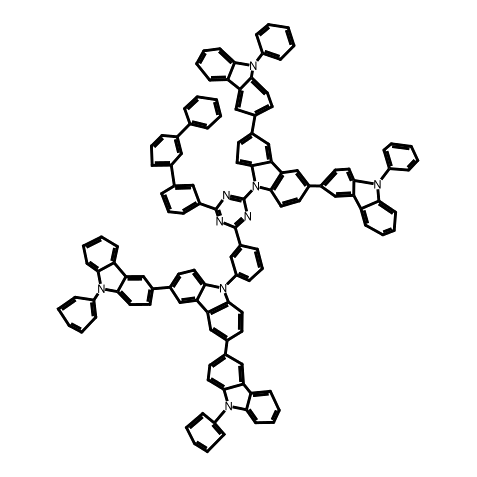 c1ccc(-c2cccc(-c3cccc(-c4nc(-c5cccc(-n6c7ccc(-c8ccc9c(c8)c8ccccc8n9-c8ccccc8)cc7c7cc(-c8ccc9c(c8)c8ccccc8n9-c8ccccc8)ccc76)c5)nc(-n5c6ccc(-c7ccc8c(c7)c7ccccc7n8-c7ccccc7)cc6c6cc(-c7ccc8c(c7)c7ccccc7n8-c7ccccc7)ccc65)n4)c3)c2)cc1